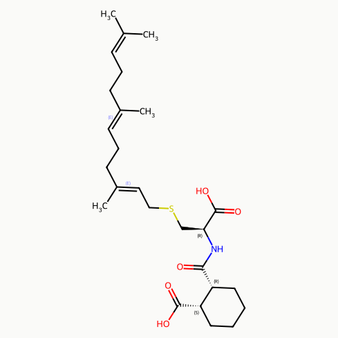 CC(C)=CCC/C(C)=C/CC/C(C)=C/CSC[C@H](NC(=O)[C@@H]1CCCC[C@@H]1C(=O)O)C(=O)O